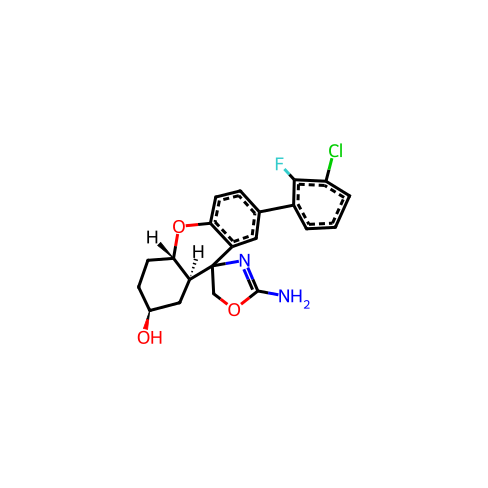 NC1=NC2(CO1)c1cc(-c3cccc(Cl)c3F)ccc1O[C@H]1CC[C@H](O)C[C@@H]12